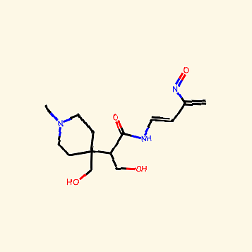 C=C(/C=C/NC(=O)C(CO)C1(CO)CCN(C)CC1)N=O